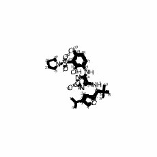 CC(C)c1coc([C@H](Nc2n[s+]([O-])nc2Nc2ccc(Cl)c(S(=O)(=O)N3CCCC3)c2O)C(C)(C)C)c1